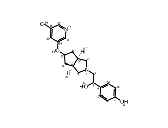 Oc1ccc(C(O)CN2C[C@H]3CC(Oc4cncc(Cl)c4)C[C@H]3C2)cc1